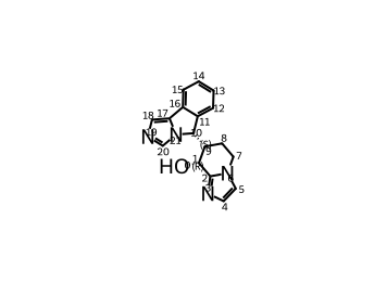 O[C@H]1c2nccn2CC[C@H]1C1c2ccccc2-c2cncn21